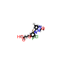 COc1cnc2c(-c3nc4c(Cl)c(F)c(OCCCC(=O)O)cc4s3)cc(C)cc2n1